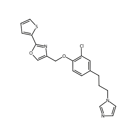 Clc1cc(CCCn2ccnc2)ccc1OCc1coc(-c2cccs2)n1